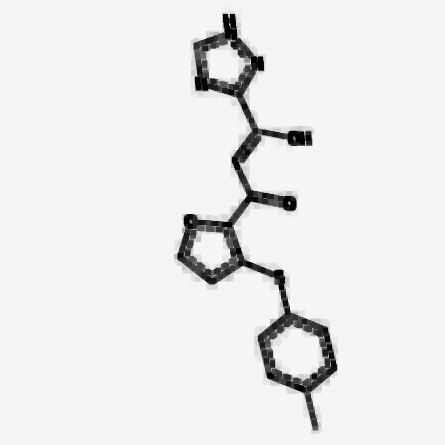 Cc1ccc(Sc2ccoc2C(=O)C=C(O)c2nc[nH]n2)cc1